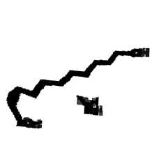 CCCCCCCC/C=C\CCCCCCCCO.[NaH].[NaH]